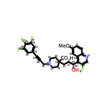 COc1ccc2ncc(F)c([C@@H](O)CCC3(C(=O)O)CCN(CC#Cc4cc(F)c(F)c(F)c4)CC3)c2c1